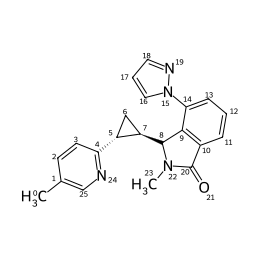 Cc1ccc([C@@H]2C[C@H]2C2c3c(cccc3-n3cccn3)C(=O)N2C)nc1